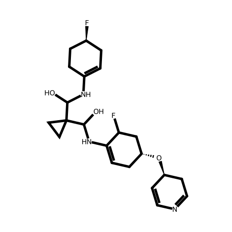 OC(NC1=CC[C@H](F)CC1)C1(C(O)NC2=CC[C@@H](O[C@@H]3C=CN=CC3)CC2F)CC1